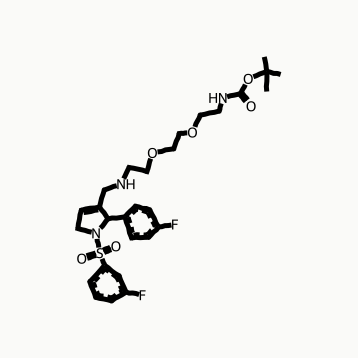 CC(C)(C)OC(=O)NCCOCCOCCNCC1=CCN(S(=O)(=O)c2cccc(F)c2)C1c1ccc(F)cc1